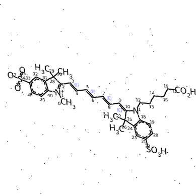 C[N+]1=C(/C=C/C=C/C=C/C=C2/N(CCCCCC(=O)O)c3ccc(S(=O)(=O)O)cc3C2(C)C)C(C)(C)c2cc(S(=O)(=O)[O-])ccc21